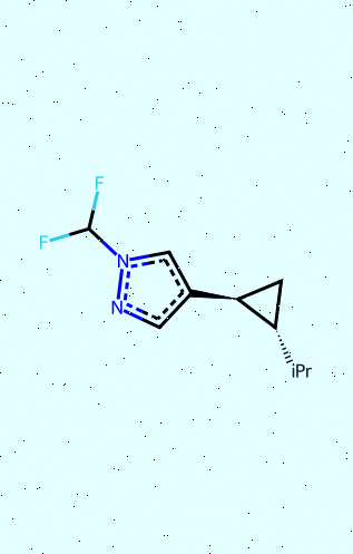 CC(C)[C@H]1C[C@@H]1c1cnn(C(F)F)c1